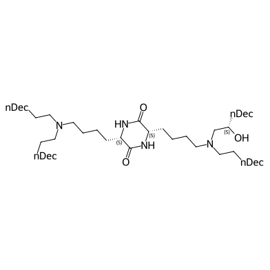 CCCCCCCCCCCCN(CCCCCCCCCCCC)CCCC[C@@H]1NC(=O)[C@H](CCCCN(CCCCCCCCCCCC)C[C@@H](O)CCCCCCCCCC)NC1=O